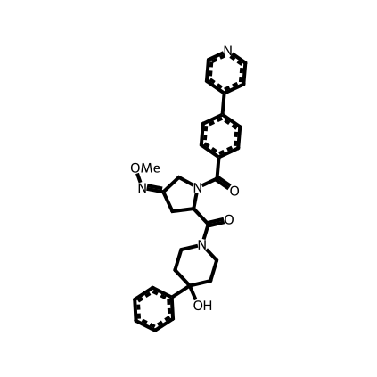 CON=C1CC(C(=O)N2CCC(O)(c3ccccc3)CC2)N(C(=O)c2ccc(-c3ccncc3)cc2)C1